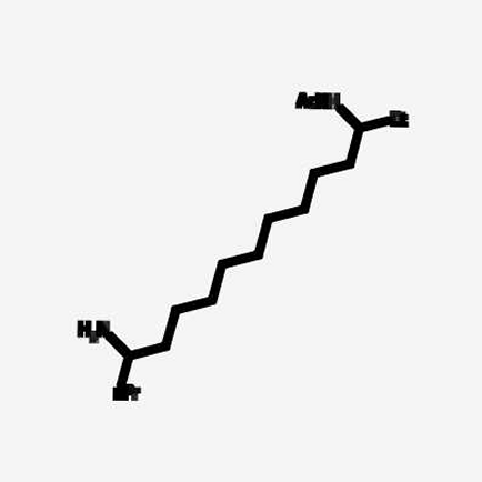 CCCC(N)CCCCCCCCCC(CC)NC(C)=O